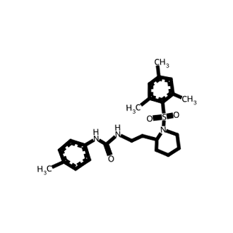 Cc1ccc(NC(=O)NCCC2CCCCN2S(=O)(=O)c2c(C)cc(C)cc2C)cc1